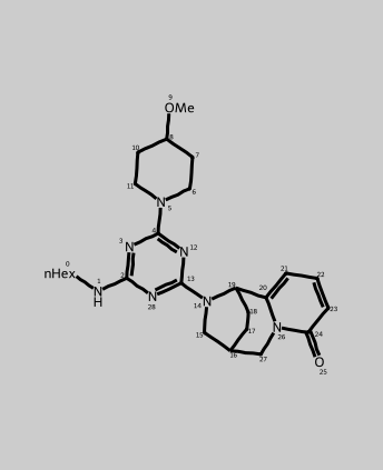 CCCCCCNc1nc(N2CCC(OC)CC2)nc(N2CC3CCC2c2cccc(=O)n2C3)n1